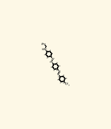 CC(C)CNc1ccc(N=Nc2ccc(N=Nc3ccc(C(F)(F)F)cc3)cc2)cc1